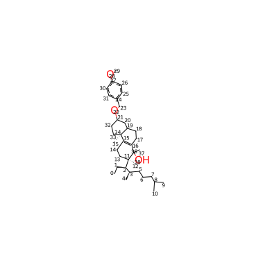 CC[C@H]([C@H](C)CCCC(C)C)[C@@]1(C)CCC2=C(CCC3CC(OCc4ccc(OC)cc4)CC[C@]23C)C1(C)O